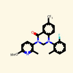 COc1ccc(N2CN(c3c(C)cccc3F)c3ccc(C(F)(F)F)cc3C2=O)c(C)n1